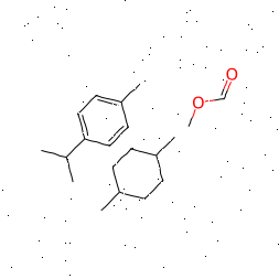 CC1CCC(C)CC1.COC=O.Cc1ccc(C(C)C)cc1